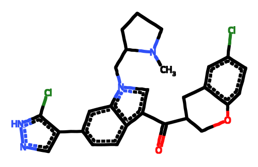 CN1CCCC1Cn1cc(C(=O)C2COc3ccc(Cl)cc3C2)c2ccc(-c3cn[nH]c3Cl)cc21